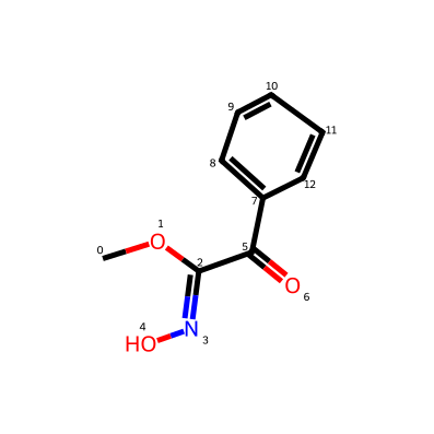 COC(=NO)C(=O)c1ccccc1